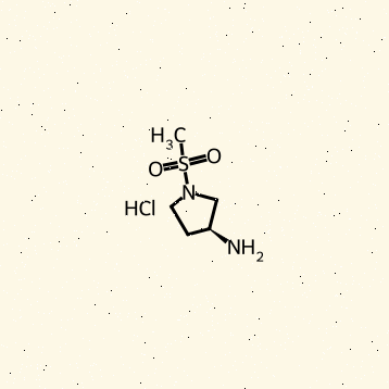 CS(=O)(=O)N1CC[C@H](N)C1.Cl